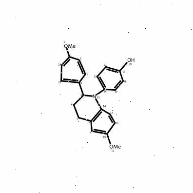 COc1ccc(C2CCc3cc(OC)ccc3N2c2ccc(O)cc2)cc1